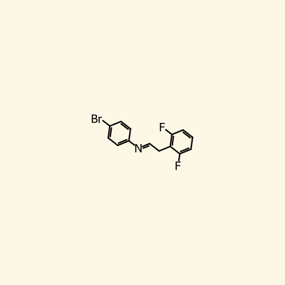 Fc1cccc(F)c1C/C=N/c1ccc(Br)cc1